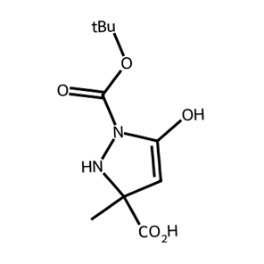 CC(C)(C)OC(=O)N1NC(C)(C(=O)O)C=C1O